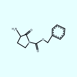 NC1CCN(C(=O)OCc2ccccc2)C1=O